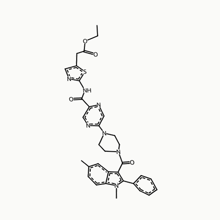 CCOC(=O)Cc1cnc(NC(=O)c2cnc(N3CCN(C(=O)c4c(-c5ccccc5)n(C)c5ccc(C)cc45)CC3)cn2)s1